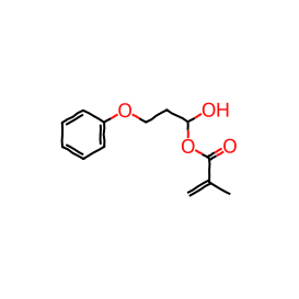 C=C(C)C(=O)OC(O)CCOc1ccccc1